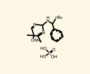 CCCCC(NC1N=CC(C)(OC)C(C)=N1)c1ccccc1.O=P(O)(O)O